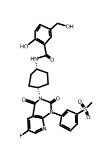 CS(=O)(=O)c1cccc(-n2c(=O)n([C@H]3CC[C@@H](NC(=O)c4cc(CO)ccc4O)CC3)c(=O)c3cc(F)cnc32)c1